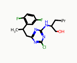 CC(C)CC(CO)Nc1nc(Cl)nc(CC(C)c2cc(F)ccc2F)n1